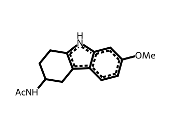 COc1ccc2c3c([nH]c2c1)CCC(NC(C)=O)C3